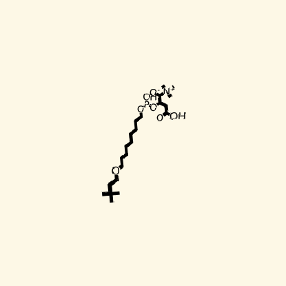 CC(C)(C)CCOCCCCCCCCCOP(O)OC(CC(=O)O)C([O-])[N+](C)(C)C